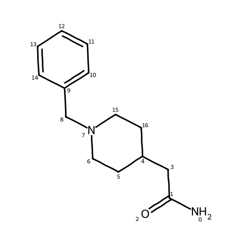 NC(=O)CC1CCN(Cc2ccccc2)CC1